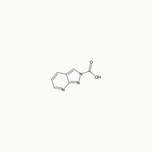 O=C(O)n1cc2cccnc2n1